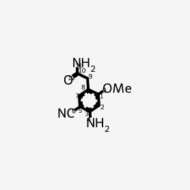 COc1cc(N)c(C#N)cc1CC(N)=O